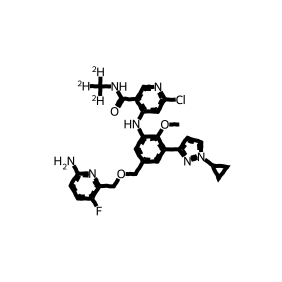 [2H]C([2H])([2H])NC(=O)c1cnc(Cl)cc1Nc1cc(COCc2nc(N)ccc2F)cc(-c2ccn(C3CC3)n2)c1OC